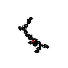 CC1C=CC2=C(C1)c1ccccc1C21c2cc(-c3ccc4c(c3)C(C)(C)c3cc(-c5ccc(-c6nc(C7=CCC(c8ccc9c(c8)C(C)(C)c8ccccc8-9)C=C7)nc(-c7ccccc7)n6)cc5)ccc3-4)ccc2-c2ccc(-c3cc(-c4ccc(-c5ccccc5)cc4)nc(C4C=Cc5ccccc5C4C)n3)cc21